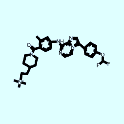 Cc1cc(Nc2nccn3c(-c4ccc(OC(F)F)cc4)cnc23)ccc1C(=O)N1CCC(CC[N+](C)(C)C)CC1